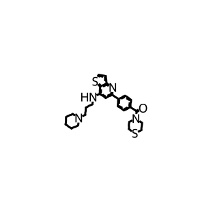 O=C(c1ccc(-c2cc(NCCCN3CCCCC3)c3sccc3n2)cc1)N1CCSCC1